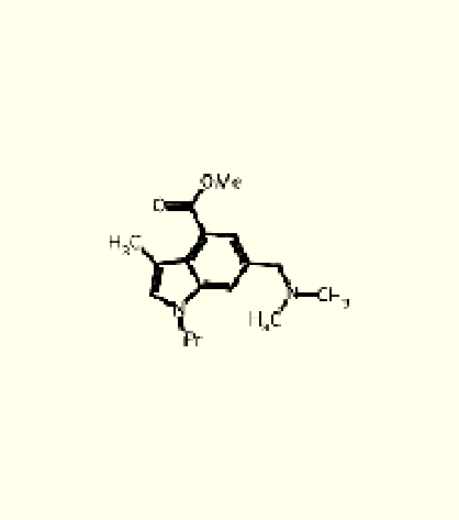 COC(=O)c1cc(CN(C)C)cc2c1c(C)cn2C(C)C